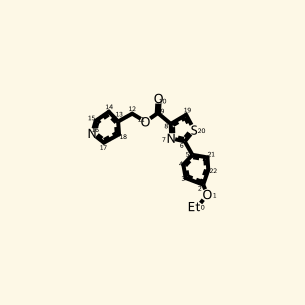 CCOc1ccc(-c2nc(C(=O)OCc3ccncc3)cs2)cc1